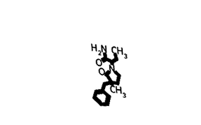 CCC(C(N)=O)N1CCC(C)(Cc2ccccc2)C1=O